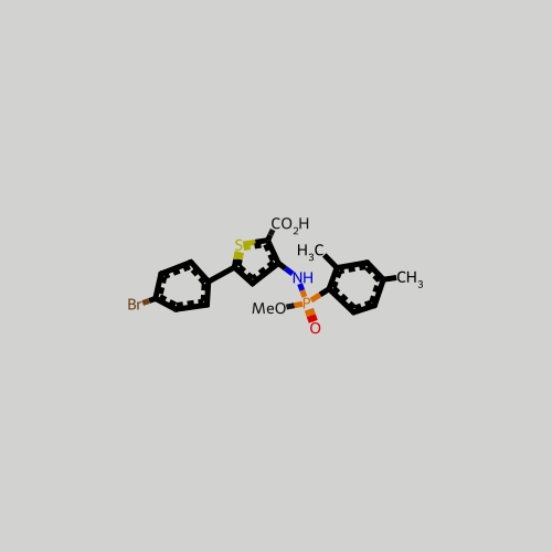 COP(=O)(Nc1cc(-c2ccc(Br)cc2)sc1C(=O)O)c1ccc(C)cc1C